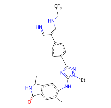 CCn1nc(-c2ccc(/C(C=N)=C/NCC(F)(F)F)cc2)nc1Nc1cc2c(cc1C)C(=O)NC2C